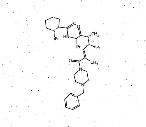 C/C(=C\[C@H](C(C)C)N(C)C(=O)[C@@H](NC(=O)C1CCCCN1C(C)C)C(C)C)C(=O)N1CCN(Cc2ccccc2)CC1